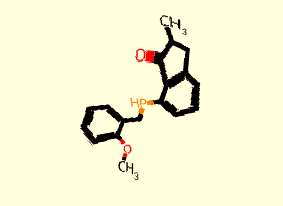 COc1ccccc1CPc1cccc2c1C(=O)C(C)C2